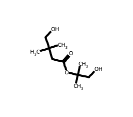 CC(C)(CO)CC(=O)OC(C)(C)CO